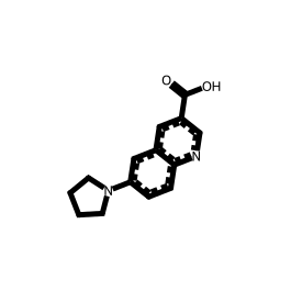 O=C(O)c1cnc2ccc(N3CCCC3)cc2c1